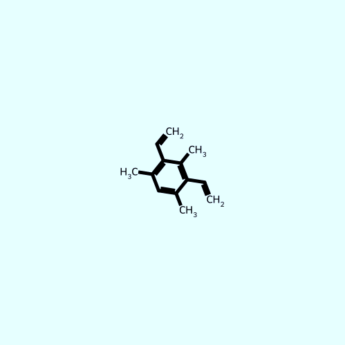 C=Cc1c(C)cc(C)c(C=C)c1C